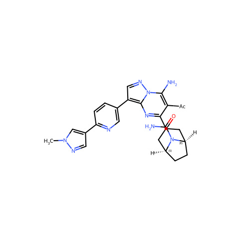 CC(=O)c1c(C2C[C@H]3CC[C@@H](C2)N3C(N)=O)nc2c(-c3ccc(-c4cnn(C)c4)nc3)cnn2c1N